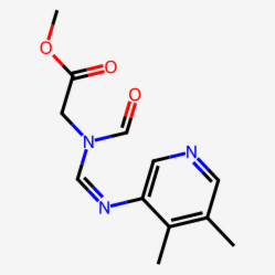 COC(=O)CN(C=O)/C=N\c1cncc(C)c1C